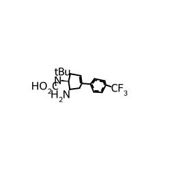 CC(C)(C)N(C(=O)O)[C@H]1CC=C(c2ccc(C(F)(F)F)cc2)C[C@@H]1N